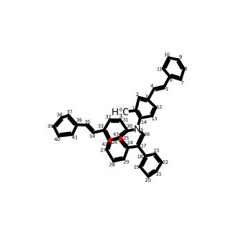 Cc1cc(C=Cc2ccccc2)ccc1N(C=C(c1ccccc1)c1ccccc1)c1ccc(C=Cc2ccccc2)cc1